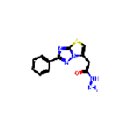 NNC(=O)Cc1csc2nc(-c3ccccc3)nn12